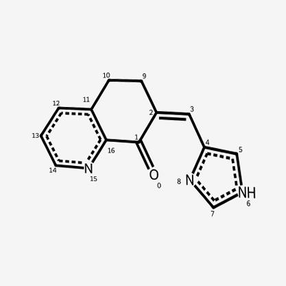 O=C1/C(=C\c2c[nH]cn2)CCc2cccnc21